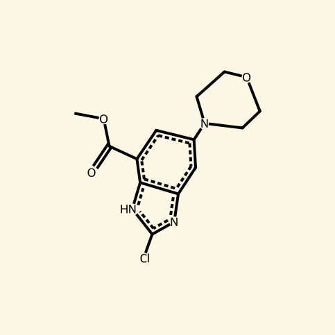 COC(=O)c1cc(N2CCOCC2)cc2nc(Cl)[nH]c12